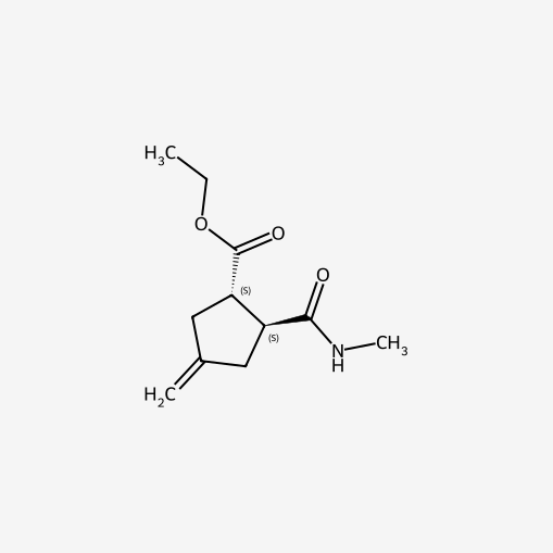 C=C1C[C@H](C(=O)NC)[C@@H](C(=O)OCC)C1